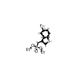 CCOP(=O)(Cc1csc2ccc(F)cc12)OCC